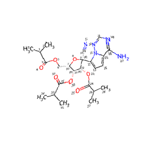 CC(C)C(=O)OC[C@@H]1O[C@@](C#N)(c2ccc3c(N)ncnn23)[C@H](OC(=O)C(C)C)[C@@H]1OC(=O)C(C)C